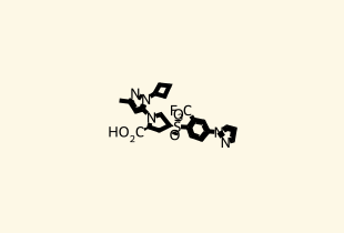 Cc1cc(N2C[C@H](S(=O)(=O)c3ccc(-n4cccn4)cc3C(F)(F)F)C[C@H]2C(=O)O)n(C2CCC2)n1